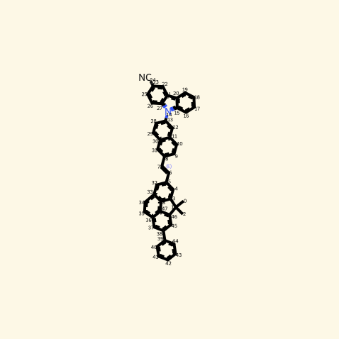 CC1(C)c2cc(/C=C/c3ccc4cc(-n5c6ccccc6c6cc(C#N)ccc65)ccc4c3)cc3ccc4cc(-c5ccccc5)cc1c4c23